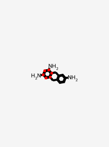 Nc1ccc2c(c1)C1c3ccc(N)cc3C2c2c(N)cccc21